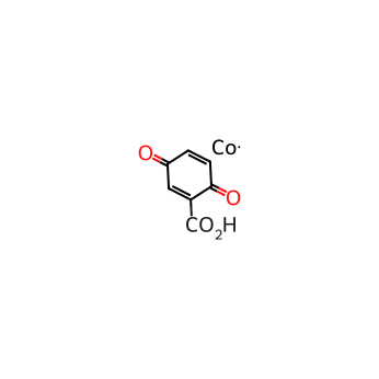 O=C1C=CC(=O)C(C(=O)O)=C1.[Co]